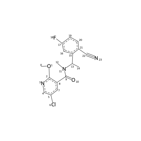 COc1ncc(Cl)cc1C(=O)N(C)C(C)c1cc(F)ccc1C#N